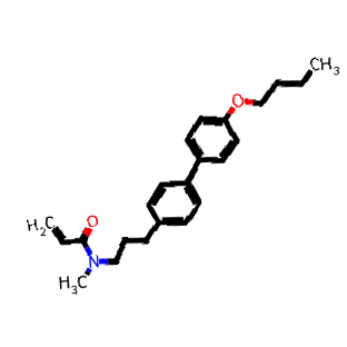 C=CC(=O)N(C)CCCc1ccc(-c2ccc(OCCCC)cc2)cc1